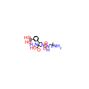 CC(C)(N)CNS(=O)(=O)N1CC(c2cccc(B(O)O)c2)C(N)(C(=O)O)C1